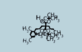 CCCCC(CCCc1c(C)cc(C)cc1C)(C(=O)OC(C)(C)C)C(=O)OC(C)(C)C